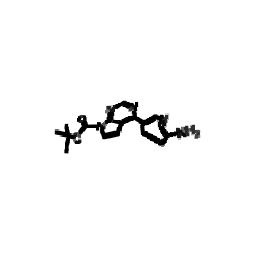 CC(C)(C)OC(=O)n1ccc2c(-c3ccc(N)nc3)ncnc21